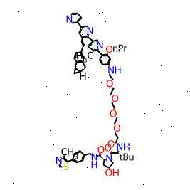 CCCOc1cc(NCCOCCOCCOCCOCCC(=O)N[C@H](C(=O)N2C[C@H](O)C[C@H]2C(=O)NCc2ccc(-c3scnc3C)cc2)C(C)(C)C)ccc1-c1ncc(-c2ncc(-c3cccnc3)cc2/C=C/c2ccc3c(c2)C[C@@H]2CC32)cc1C